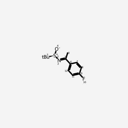 CC(=N[S@+]([O-])C(C)(C)C)c1ccc(F)cc1